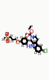 CCOC(=O)N1CCc2c([nH]c3ccc(Cl)cc23)[C@@H]1c1ccc(OCCCS(C)(=O)=O)cc1